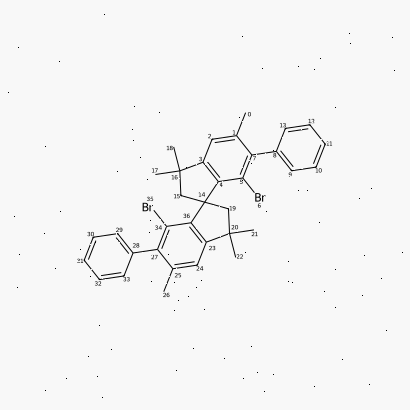 Cc1cc2c(c(Br)c1-c1ccccc1)C1(CC2(C)C)CC(C)(C)c2cc(C)c(-c3ccccc3)c(Br)c21